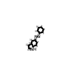 c1ccc(/N=N/c2ccc3[nH]ccc3c2)cc1